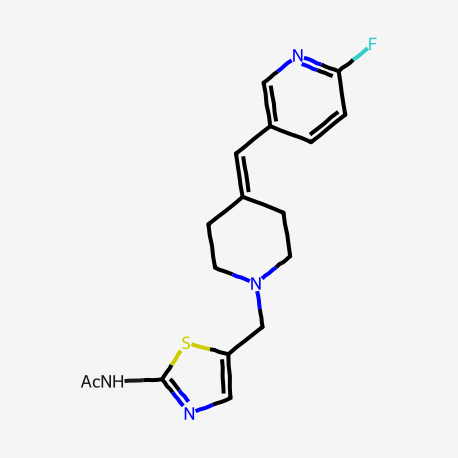 CC(=O)Nc1ncc(CN2CCC(=Cc3ccc(F)nc3)CC2)s1